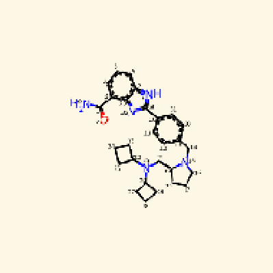 NC(=O)c1cccc2[nH]c(-c3ccc(CN4CCCC4CN(C4CCC4)C4CCC4)cc3)nc12